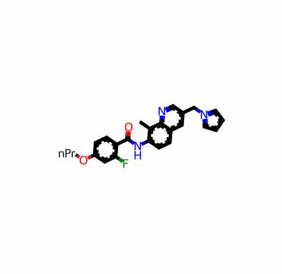 CCCOc1ccc(C(=O)Nc2ccc3cc(Cn4cccc4)cnc3c2C)c(F)c1